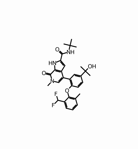 Cc1cccc(C(F)F)c1Oc1ccc(C(C)(C)O)cc1-c1cn(C)c(=O)c2[nH]c(C(=O)NC(C)(C)C)cc12